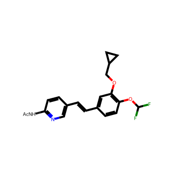 CC(=O)Nc1ccc(C=Cc2ccc(OC(F)F)c(OCC3CC3)c2)cn1